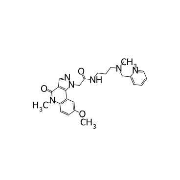 COc1ccc2c(c1)c1c(cnn1CC(=O)NCCCN(C)Cc1ccccn1)c(=O)n2C